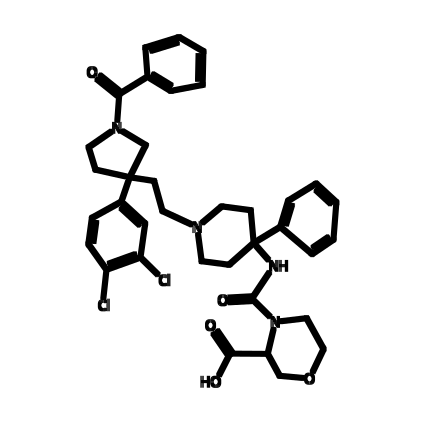 O=C(O)C1COCCN1C(=O)NC1(c2ccccc2)CCN(CCC2(c3ccc(Cl)c(Cl)c3)CCN(C(=O)c3ccccc3)C2)CC1